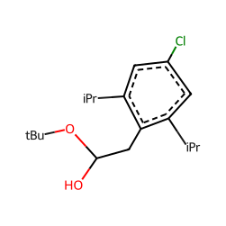 CC(C)c1cc(Cl)cc(C(C)C)c1CC(O)OC(C)(C)C